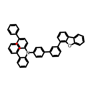 c1ccc(-c2ccc(N(c3ccc(-c4cccc(-c5cccc6c5oc5ccccc56)c4)cc3)c3ccccc3-c3ccccc3)cc2)cc1